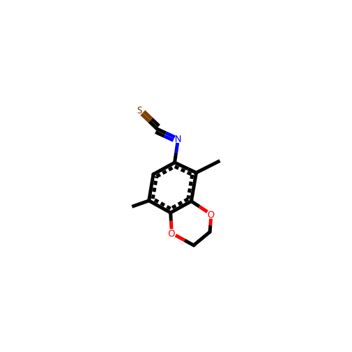 Cc1cc(N=C=S)c(C)c2c1OCCO2